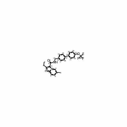 CCc1nc2ccc(C)cn2c1C(=O)NCc1ccc(-c2ccc(OC(F)(F)F)cc2)cc1